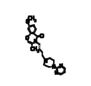 COc1ccc2c(c1)OC=C(C)N(CCCCN1CCN(c3ncccn3)CC1)C2=O